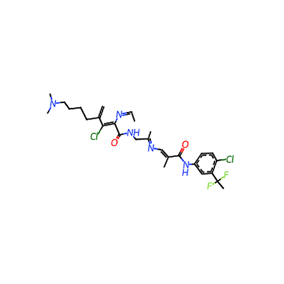 C=C(CCCCN(C)C)/C(Cl)=C(\N=C/C)C(=O)NC/C(C)=N/C=C(\C)C(=O)Nc1ccc(Cl)c(C(C)(F)F)c1